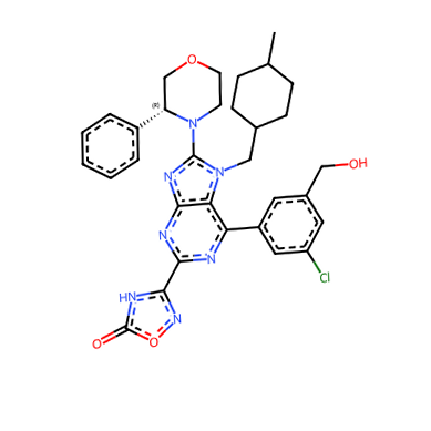 CC1CCC(Cn2c(N3CCOC[C@H]3c3ccccc3)nc3nc(-c4noc(=O)[nH]4)nc(-c4cc(Cl)cc(CO)c4)c32)CC1